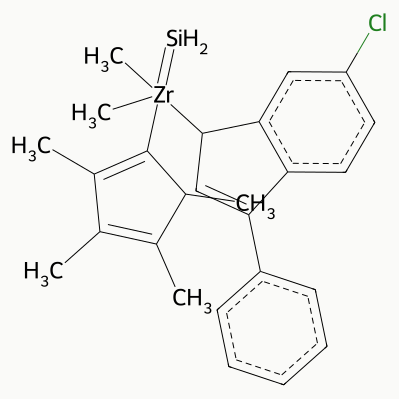 CC1=C(C)C(C)[C]([Zr]([CH3])([CH3])(=[SiH2])[CH]2C=C(c3ccccc3)c3ccc(Cl)cc32)=C1C